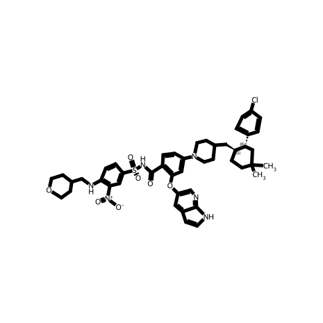 CC1(C)CC[C@@H](CC2CCN(c3ccc(C(=O)NS(=O)(=O)c4ccc(NCC5CCOCC5)c([N+](=O)[O-])c4)c(Oc4cnc5[nH]ccc5c4)c3)CC2)[C@H](c2ccc(Cl)cc2)C1